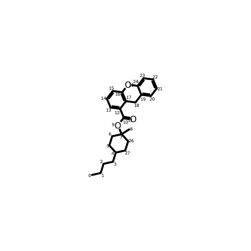 CCCCC1CCC(C)(OC(=O)c2cccc3c2Cc2ccccc2O3)CC1